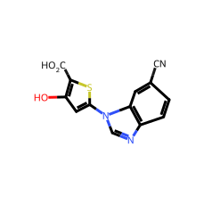 N#Cc1ccc2ncn(-c3cc(O)c(C(=O)O)s3)c2c1